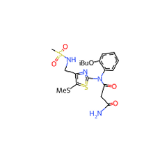 CSc1sc(N(C(=O)CC(N)=O)c2ccccc2OCC(C)C)nc1CNS(C)(=O)=O